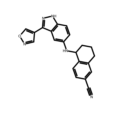 N#Cc1ccc2c(c1)CCCC2Nc1ccc2[nH]nc(-c3cnoc3)c2c1